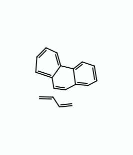 C=CC=C.c1ccc2c(c1)ccc1ccccc12